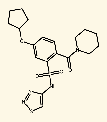 O=C(c1ccc(OC2CCCC2)cc1S(=O)(=O)Nc1csnn1)N1CCCCC1